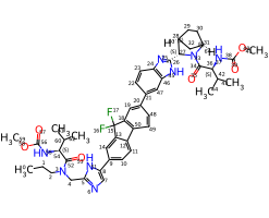 CCCN(Cc1ncc(-c2ccc3c(c2)C(F)(F)c2cc(-c4ccc5nc([C@@H]6[C@H]7CC[C@H](C7)N6C(=O)[C@@H](NC(=O)OC)C(C)C)[nH]c5c4)ccc2-3)[nH]1)C(=O)[C@@H](NC(=O)OC)C(C)C